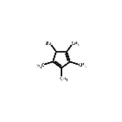 [CH2]CC(C)C1C(C)=C(C)C(C)=C1C